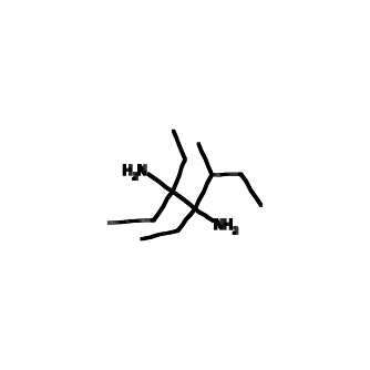 CCC(C)C(N)(CC)C(N)(CC)CC